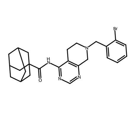 O=C(Nc1ncnc2c1CCN(Cc1ccccc1Br)C2)C12CC3CC(CC(C3)C1)C2